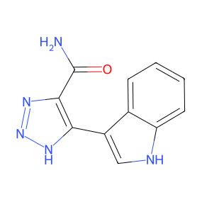 NC(=O)c1nn[nH]c1-c1c[nH]c2ccccc12